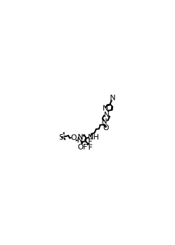 C[Si](C)(C)CCOCn1ncc(NCCCCCC(=O)N2CCN(c3ccc(C#N)cn3)CC2)c(C(F)(F)F)c1=O